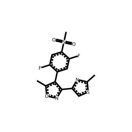 Cc1nc(-c2noc(C)c2-c2cc(F)c(S(C)(=O)=O)cc2F)cs1